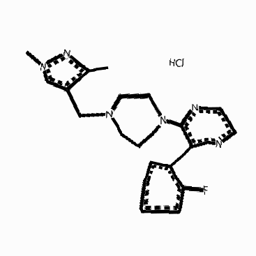 Cc1nn(C)cc1CN1CCN(c2nccnc2-c2ccccc2F)CC1.Cl